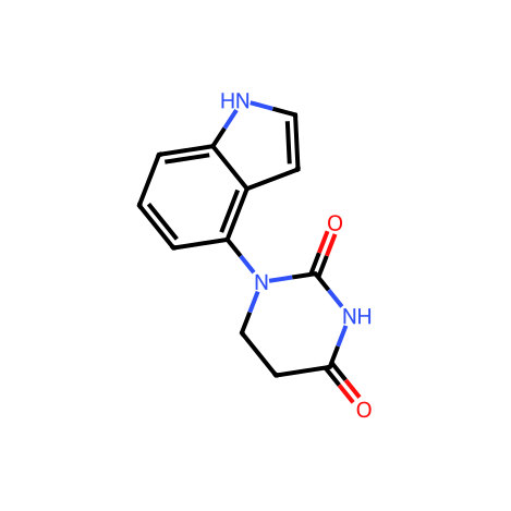 O=C1CCN(c2cccc3[nH]ccc23)C(=O)N1